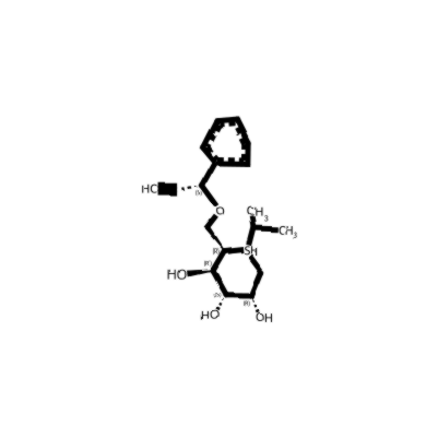 C#C[C@@H](OC[C@@H]1[C@H](O)[C@@H](O)[C@@H](O)C[SH]1C(C)C)c1ccccc1